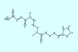 CC(CSSC(C)C(=O)/C=C/C(=O)O)C(=O)CCCC[C@@H]1CCSS1